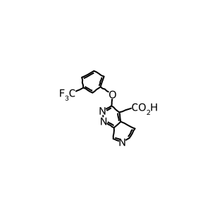 O=C(O)c1c(Oc2cccc(C(F)(F)F)c2)nnc2cnccc12